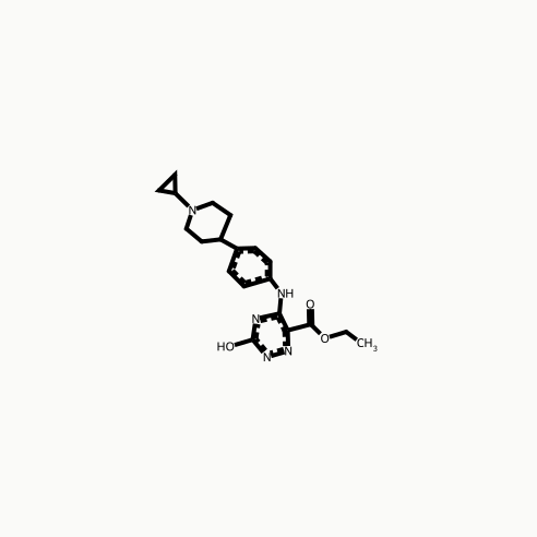 CCOC(=O)c1nnc(O)nc1Nc1ccc(C2CCN(C3CC3)CC2)cc1